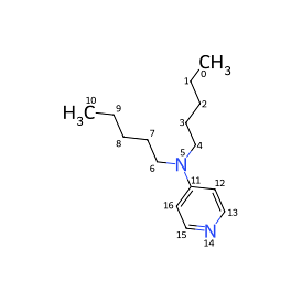 CCCCCN(CCCCC)c1ccncc1